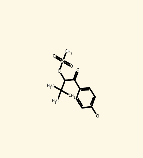 CC(C)(C)C(OS(C)(=O)=O)C(=O)c1ccc(Cl)cc1